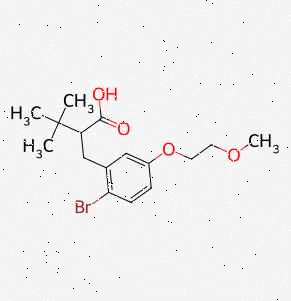 COCCOc1ccc(Br)c(CC(C(=O)O)C(C)(C)C)c1